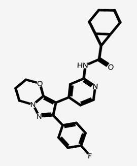 O=C(Nc1cc(-c2c(-c3ccc(F)cc3)nn3c2OCCC3)ccn1)C1C2CCCCC21